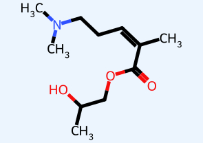 CC(=CCCN(C)C)C(=O)OCC(C)O